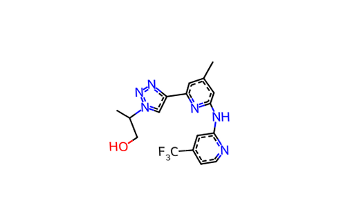 Cc1cc(Nc2cc(C(F)(F)F)ccn2)nc(-c2cn(C(C)CO)nn2)c1